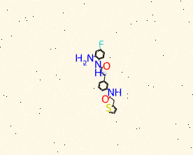 Nc1cc(F)ccc1NC(=O)/C=C/c1cccc(NC(=O)Cc2cccs2)c1